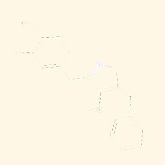 COc1ccc(Cc2noc3c2C(=O)c2ccccc2C3=O)cc1Br